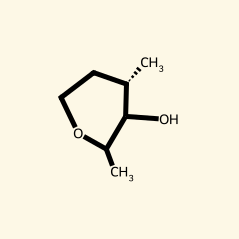 CC1OCC[C@H](C)C1O